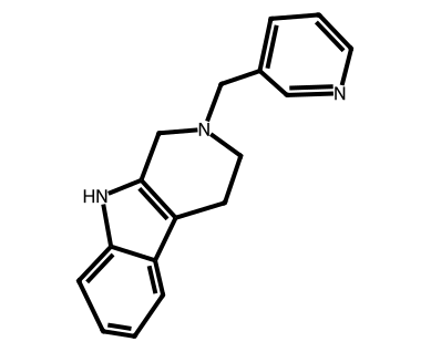 c1cncc(CN2CCc3c([nH]c4ccccc34)C2)c1